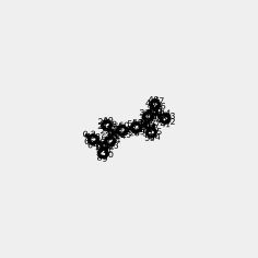 CC1C=CC(N2c3ccccc3C3C=CC(N(c4ccccc4)C4CC=C(C5=CCC(N(C6=CCC7C(=C6)N(c6ccccc6)c6ccccc67)C6CCCCC6C)CC5)CC4)=CC32)=CC1